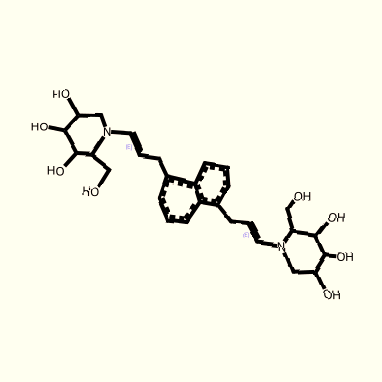 OCC1C(O)C(O)C(O)CN1/C=C/Cc1cccc2c(C/C=C/N3CC(O)C(O)C(O)C3CO)cccc12